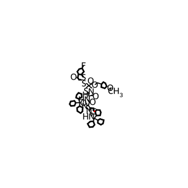 COc1ccc(COC(=O)C2(CSc3cc(=O)c4ccc(F)cc4s3)CS[C@@H]3C(NC(=O)C(=NOC(c4ccccc4)(c4ccccc4)c4ccccc4)c4csc(NC(c5ccccc5)(c5ccccc5)c5ccccc5)n4)C(=O)N3C2)cc1